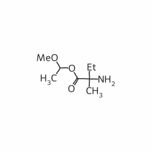 CCC(C)(N)C(=O)OC(C)OC